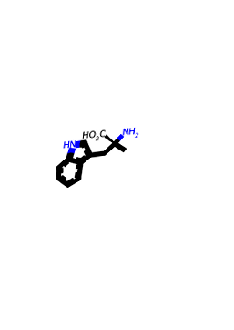 C[C@@](N)(Cc1c[nH]c2ccccc12)C(=O)O